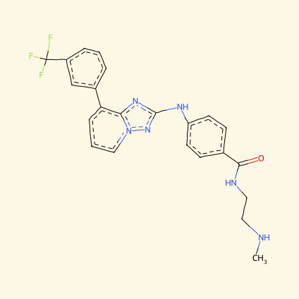 CNCCNC(=O)c1ccc(Nc2nc3c(-c4cccc(C(F)(F)F)c4)cccn3n2)cc1